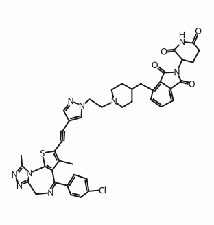 Cc1c(C#Cc2cnn(CCN3CCC(Cc4cccc5c4C(=O)N(C4CCC(=O)NC4=O)C5=O)CC3)c2)sc2c1C(c1ccc(Cl)cc1)=NCc1nnc(C)n1-2